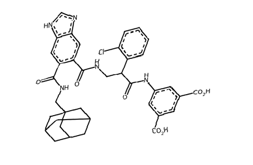 O=C(O)c1cc(NC(=O)C(CNC(=O)c2cc3nc[nH]c3cc2C(=O)NCC23CC4CC(CC(C4)C2)C3)c2ccccc2Cl)cc(C(=O)O)c1